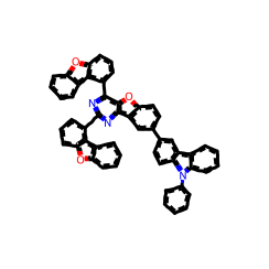 c1ccc(-n2c3ccccc3c3cc(-c4ccc5oc6c(-c7cccc8oc9ccccc9c78)nc(-c7cccc8oc9ccccc9c78)nc6c5c4)ccc32)cc1